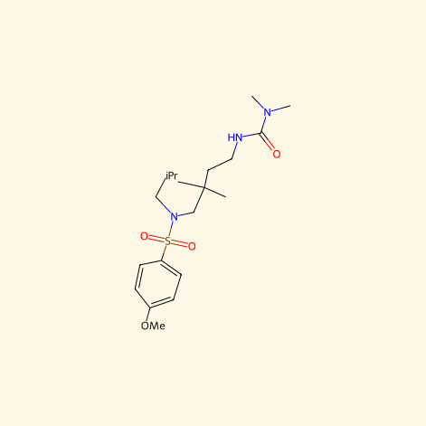 COc1ccc(S(=O)(=O)N(CC(C)C)CC(C)(C)CCNC(=O)N(C)C)cc1